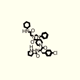 O=C(CN1CN(c2ccccc2)C2(CCN(C(=O)[C@@H](Cc3ccc(Cl)cc3)NC(=O)[C@H]3CCCN3)CC2)C1=O)NC1CCCCC1